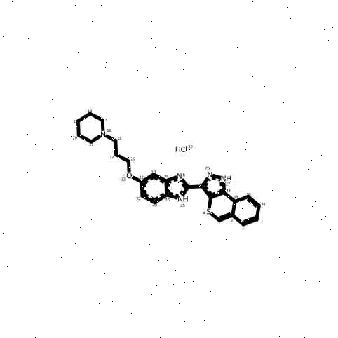 C1=CC2=CSc3c(-c4nc5cc(OCCCN6CCCCC6)ccc5[nH]4)n[nH]c3C2C=C1.Cl